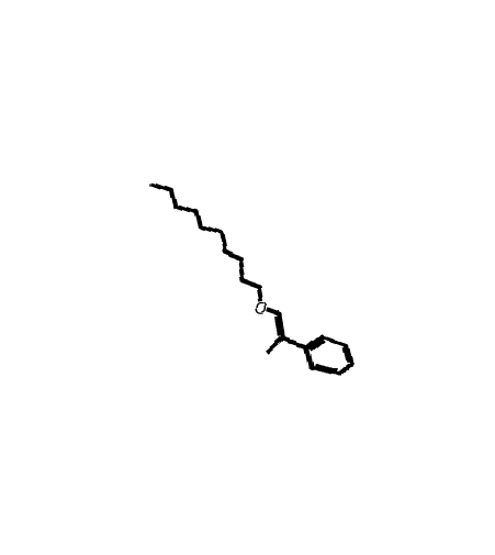 CCCCCCCCCCO/C=C(\C)c1ccccc1